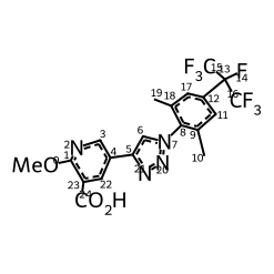 COc1ncc(-c2cn(-c3c(C)cc(C(F)(C(F)(F)F)C(F)(F)F)cc3C)nn2)cc1C(=O)O